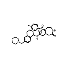 Cc1ccc(S(=O)(=O)N2CCNC(=O)CC2CC(=O)NC2CCCc3cc(CN4CCCCC4)ccc32)cc1